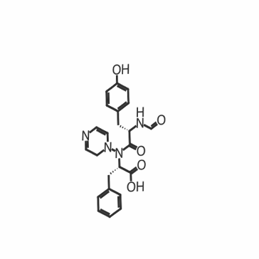 O=CN[C@@H](Cc1ccc(O)cc1)C(=O)N([C@@H](Cc1ccccc1)C(=O)O)N1C=CN=CC1